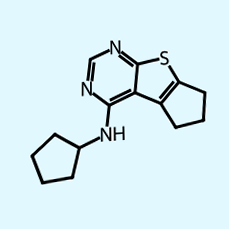 c1nc(NC2CCCC2)c2c3c(sc2n1)CCC3